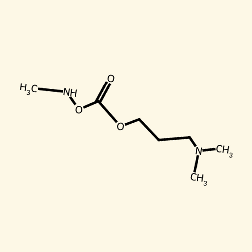 CNOC(=O)OCCCN(C)C